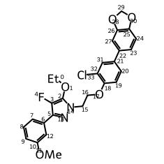 CCOc1c(F)c(-c2cccc(OC)c2)nn1CCOc1ccc(-c2ccc3c(c2)OCO3)cc1Cl